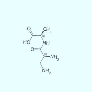 C[C@@H](NC(=O)[C@@H](N)CN)C(=O)O